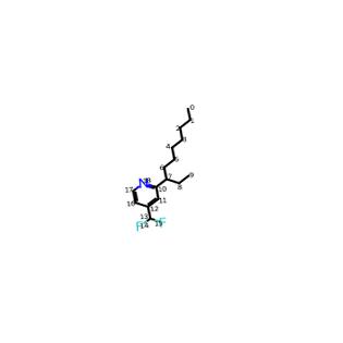 CCCCCCCC(CC)c1cc(C(F)F)ccn1